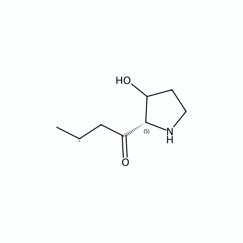 C[CH]CC(=O)[C@H]1NCCC1O